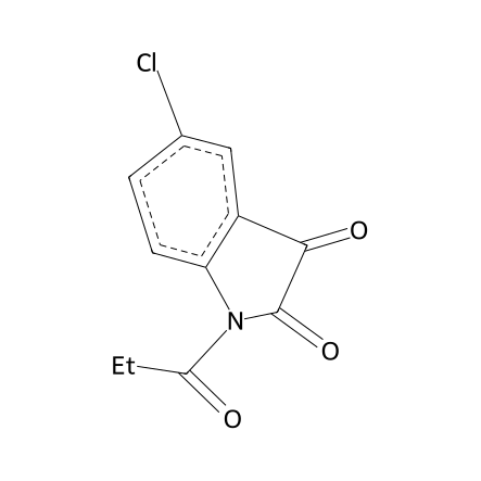 CCC(=O)N1C(=O)C(=O)c2cc(Cl)ccc21